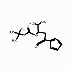 CC(C)C(CC(=C=O)c1ccccc1)NC(=O)OC(C)(C)C